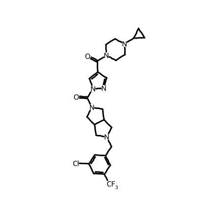 O=C(c1cnn(C(=O)N2CC3CN(Cc4cc(Cl)cc(C(F)(F)F)c4)CC3C2)c1)N1CCN(C2CC2)CC1